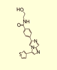 O=C(NCCO)c1ccc(-c2cn3c(-c4ccsc4)cnc3cn2)cc1